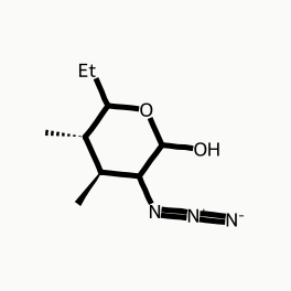 CCC1OC(O)C(N=[N+]=[N-])[C@@H](C)[C@@H]1C